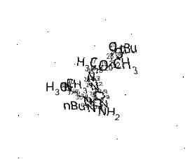 CCCCc1nc2c(N)nc3ccc(N4CCN(CC(C)COCC(C)CC(=O)OC(C)(C)C)CC4)cc3c2n1CCCCN(C)C